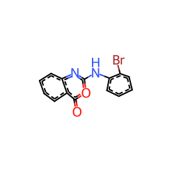 O=c1oc(Nc2ccccc2Br)nc2ccccc12